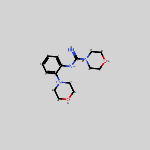 N=C(Nc1ccccc1N1CCOCC1)N1CCOCC1